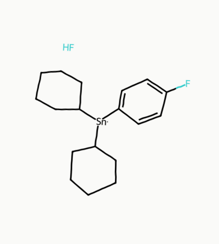 F.Fc1cc[c]([Sn]([CH]2CCCCC2)[CH]2CCCCC2)cc1